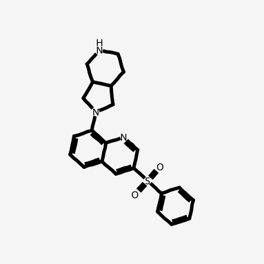 O=S(=O)(c1ccccc1)c1cnc2c(N3CC4CCNCC4C3)cccc2c1